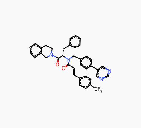 O=C([C@H](Cc1ccccc1)N(Cc1ccc(-c2cncnc2)cc1)C(=O)C=Cc1ccc(C(F)(F)F)cc1)N1CCc2ccccc2C1